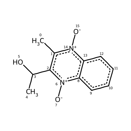 Cc1c(C(C)O)[n+]([O-])c2ccccc2[n+]1[O-]